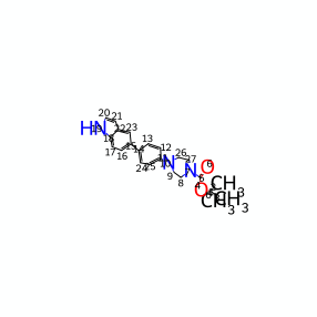 CC(C)(C)OC(=O)N1CCN(c2ccc(-c3ccc4[nH]ccc4c3)cc2)CC1